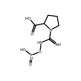 N=C(NO[PH](=O)O)N1CCCC1C(=O)O